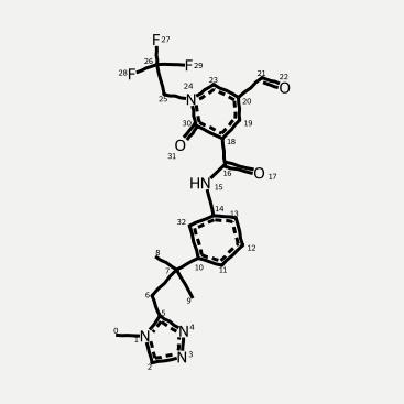 Cn1cnnc1CC(C)(C)c1cccc(NC(=O)c2cc(C=O)cn(CC(F)(F)F)c2=O)c1